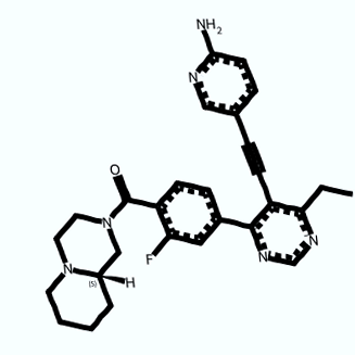 CCc1ncnc(-c2ccc(C(=O)N3CCN4CCCC[C@H]4C3)c(F)c2)c1C#Cc1ccc(N)nc1